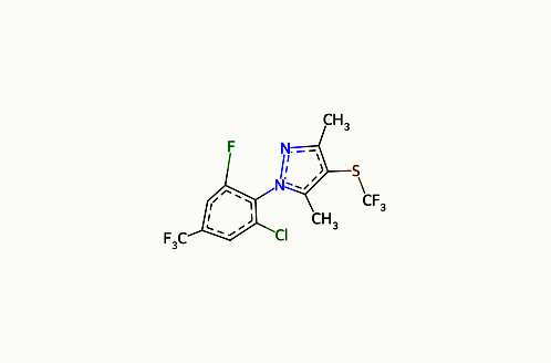 Cc1nn(-c2c(F)cc(C(F)(F)F)cc2Cl)c(C)c1SC(F)(F)F